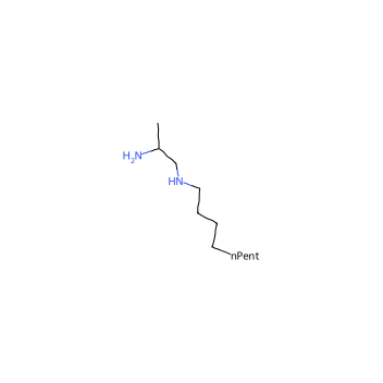 CCCCCCCCCNCC(C)N